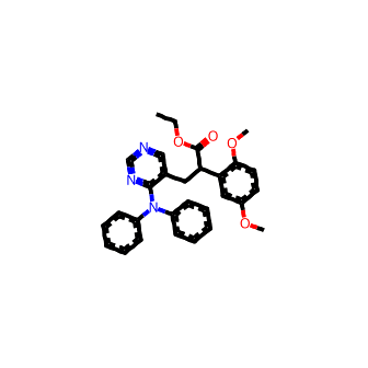 CCOC(=O)C(Cc1cncnc1N(c1ccccc1)c1ccccc1)c1cc(OC)ccc1OC